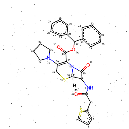 O=C(Cc1cccs1)NC1C(=O)N2C(C(=O)OC(c3ccccc3)c3ccccc3)=C(N3CCCC3)CS[C@H]12